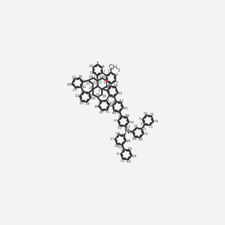 Cc1ccccc1-c1ccccc1C12CCCC34CC(CC5(CC(C1)c1ccccc1-c1ccccc15)C23)c1ccccc1-c1c(-c2ccc(-c3ccc(N(c5cccc(-c6ccccc6)c5)c5cccc(-c6ccccc6)c5)cc3)cc2)cccc14